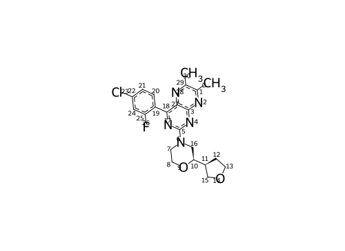 Cc1nc2nc(N3CCO[C@H]([C@H]4CCOC4)C3)nc(-c3ccc(Cl)cc3F)c2nc1C